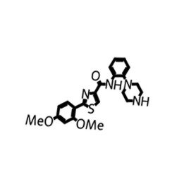 COc1ccc(-c2nc(C(=O)Nc3ccccc3N3CCNCC3)cs2)c(OC)c1